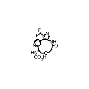 C[C@@H]1CCC[C@H](NC(=O)O)c2cc(ccn2)-c2c(cnn2C(F)F)NC1=O